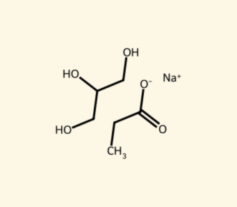 CCC(=O)[O-].OCC(O)CO.[Na+]